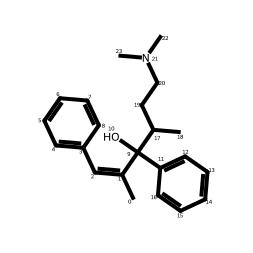 CC(=Cc1ccccc1)C(O)(c1ccccc1)C(C)CCN(C)C